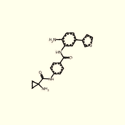 Nc1ccc(-c2ccsc2)cc1NC(=O)c1ccc(NC(=O)C2(N)CC2)cc1